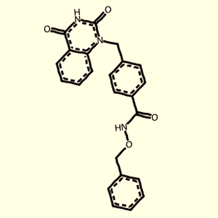 O=C(NOCc1ccccc1)c1ccc(Cn2c(=O)[nH]c(=O)c3ccccc32)cc1